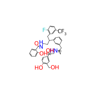 C[C@H](Cc1cccc(C(CCNC(=O)c2ccccc2O)Cc2cc(C(F)(F)F)ccc2F)c1)NC[C@@H](O)c1ccc(O)c(CO)c1